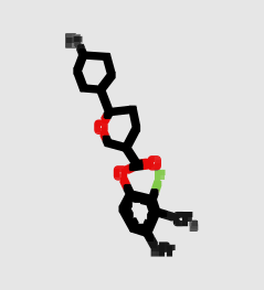 CCCc1ccc(OC(=O)C2CCC(C3CCC(CC)CC3)OC2)c(F)c1C(F)(F)F